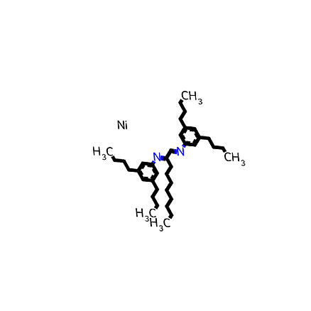 CCCCCCCCC(/C=N/c1cc(CCCC)cc(CCCC)c1)=N\c1cc(CCCC)cc(CCCC)c1.[Ni]